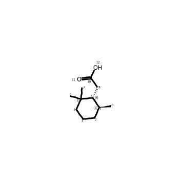 C[C@H]1CCCC(C)(C)[C@@H]1CC(=O)O